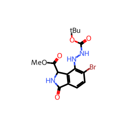 COC(=O)C1NC(=O)c2ccc(Br)c(NNC(=O)OC(C)(C)C)c21